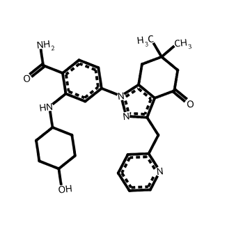 CC1(C)CC(=O)c2c(Cc3ccccn3)nn(-c3ccc(C(N)=O)c(NC4CCC(O)CC4)c3)c2C1